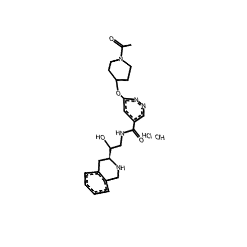 CC(=O)N1CCC(Oc2cc(C(=O)NCC(O)[C@@H]3Cc4ccccc4CN3)cnn2)CC1.Cl.Cl